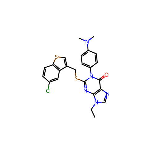 CCn1cnc2c(=O)n(-c3ccc(N(C)C)cc3)c(SCc3csc4ccc(Cl)cc34)nc21